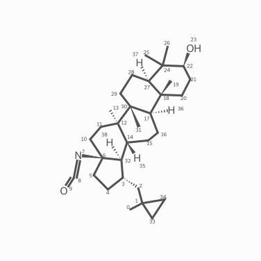 CC1(C[C@@H]2CC[C@]3(N=C=O)CC[C@]4(C)[C@H](CC[C@@H]5[C@@]6(C)CC[C@H](O)C(C)(C)[C@@H]6CC[C@]54C)[C@@H]23)CC1